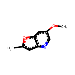 COc1cnc2cc(C)oc2c1